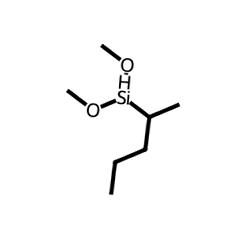 CCCC(C)[SiH](OC)OC